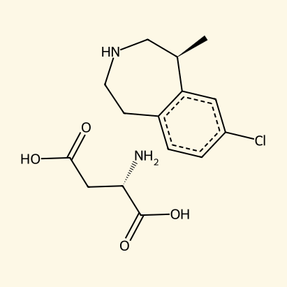 C[C@@H]1CNCCc2ccc(Cl)cc21.N[C@@H](CC(=O)O)C(=O)O